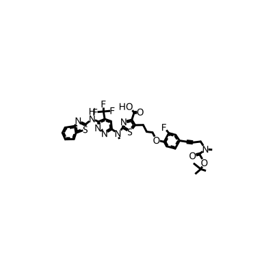 CN(CC#Cc1ccc(OCCCc2sc(N(C)c3cc(C(F)(F)F)c(Nc4nc5ccccc5s4)nn3)nc2C(=O)O)c(F)c1)C(=O)OC(C)(C)C